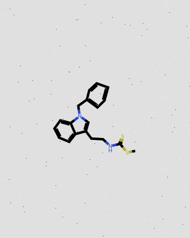 CSC(=S)NCCc1cn(Cc2ccccc2)c2ccccc12